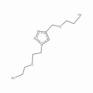 CC(=O)CCOCCn1cc(COCC[18F])nn1